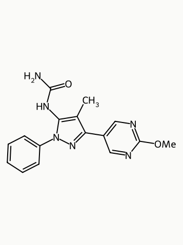 COc1ncc(-c2nn(-c3ccccc3)c(NC(N)=O)c2C)cn1